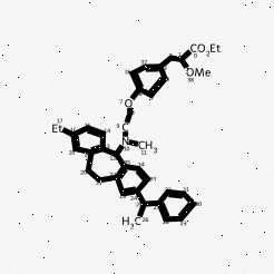 CCOC(=O)C(Cc1ccc(OCCN(C)C2c3ccc(CC)cc3CCc3cc(C(C)c4ccccc4)ccc32)cc1)OC